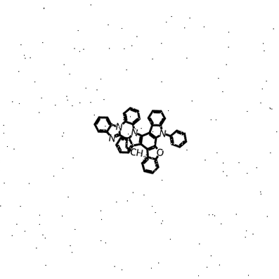 CCCc1nc2ccccc2n1-c1ccccc1-n1c2ccccc2c2c3c4ccccc4oc3c3c(c4ccccc4n3-c3ccccc3)c21